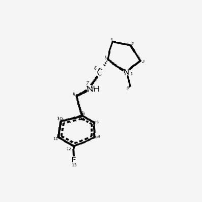 CN1CCC[C@H]1CNCc1ccc(F)cc1